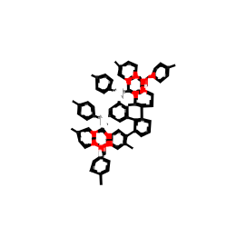 Cc1ccc(N(c2ccc(C)cc2)c2cc(-c3c(-c4ccc(N(c5ccc(C)cc5)c5ccc(C)cc5)cc4C)cccc3-c3ccc(N(c4ccc(C)cc4)c4ccc(C)cc4)cc3C)cc(N(c3ccc(C)cc3)c3ccc(C)cc3)c2)cc1